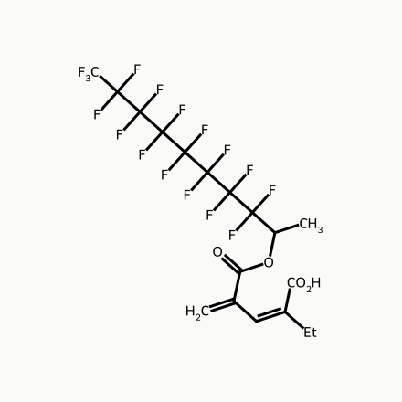 C=C(C=C(CC)C(=O)O)C(=O)OC(C)C(F)(F)C(F)(F)C(F)(F)C(F)(F)C(F)(F)C(F)(F)C(F)(F)C(F)(F)F